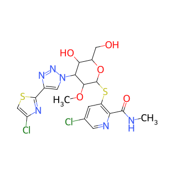 CNC(=O)c1ncc(Cl)cc1SC1OC(CO)C(O)C(n2cc(-c3nc(Cl)cs3)nn2)C1OC